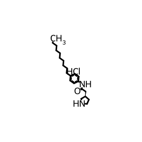 CCCCCCCCCCc1ccc(NC(=O)C[C@H]2CCNC2)cc1.Cl